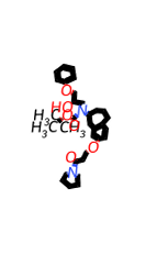 CC(C)(C)OC(=O)N(C[C@H](O)COc1ccccc1)C1CCCc2ccc(OCCC(=O)N3CCCCC3)cc2C1